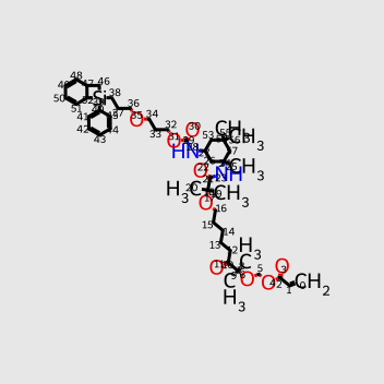 C=CC(=O)OCOC(C)(C)C(=O)CCCCCOC(C)(C)C(=O)NC1(C)CC(NC(=O)OCCCOCCC[Si]2(c3ccccc3)CC3C=CC=CC32)CC(C)(C)C1